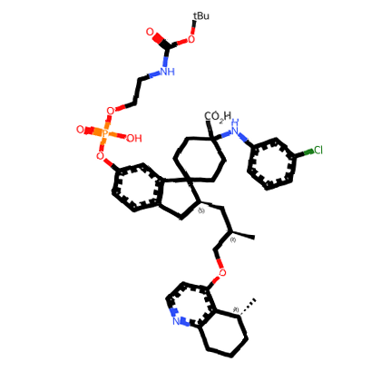 C[C@@H](COc1ccnc2c1[C@H](C)CCC2)C[C@H]1Cc2ccc(OP(=O)(O)OCCNC(=O)OC(C)(C)C)cc2C12CCC(Nc1cccc(Cl)c1)(C(=O)O)CC2